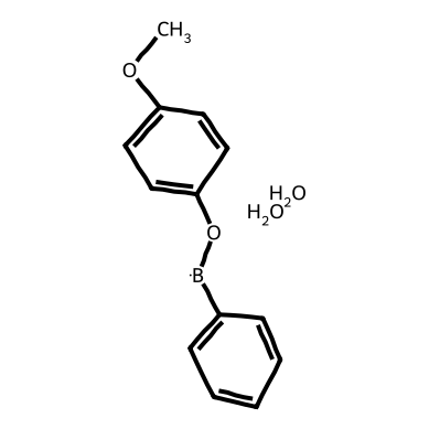 COc1ccc(O[B]c2ccccc2)cc1.O.O